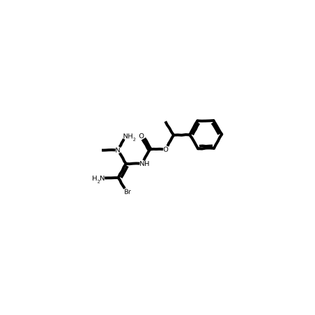 CC(OC(=O)N/C(=C(/N)Br)N(C)N)c1ccccc1